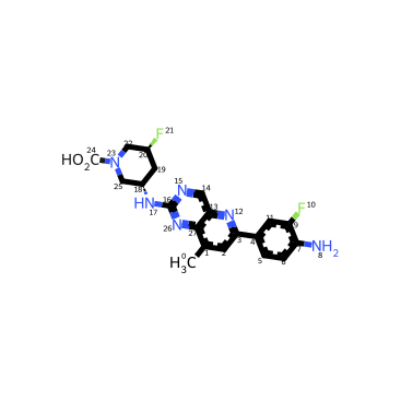 Cc1cc(-c2ccc(N)c(F)c2)nc2cnc(N[C@H]3C[C@H](F)CN(C(=O)O)C3)nc12